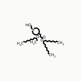 CCCCCCCCC(CCCCCCCC)OC(=O)CC/C1=C(\OC(CC)CCCCCCCC)CCCN(CCO)CCCC1